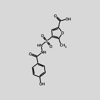 Cc1oc(C(=O)O)cc1S(=O)(=O)NNC(=O)c1ccc(O)cc1